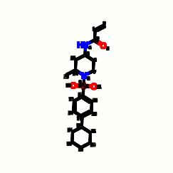 C=CC(=O)NC1CCN(S(=O)(=O)c2ccc(C3CCCCC3)cc2)C(C)C1